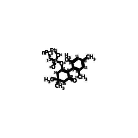 CCCSP(=O)(OCC)OC1=C(c2c(C)cc(C)cc2C)C(=O)CC(C)(C)C1